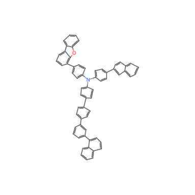 c1cc(-c2ccc(-c3ccc(N(c4ccc(-c5ccc6ccccc6c5)cc4)c4ccc(-c5cccc6c5oc5ccccc56)cc4)cc3)cc2)cc(-c2cccc3ccccc23)c1